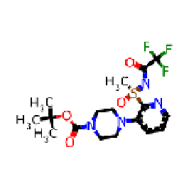 CC(C)(C)OC(=O)N1CCN(c2cccnc2S(C)(=O)=NC(=O)C(F)(F)F)CC1